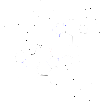 COC[C@@H]1CCCN1Cc1cc(C(F)(F)F)c2cn(-c3cccc([C@H](c4nncn4C)C4CCC4)c3)c(=O)n2c1